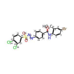 O=C(Nc1ccc(Br)cc1C(=O)O)c1ccc(N=NS(=O)(=O)c2ccc(Cl)c(Cl)c2)cc1